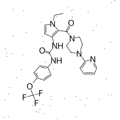 CCn1ccc(NC(=O)Nc2ccc(OC(F)(F)F)cc2)c1C(=O)N1CCN(c2ccccn2)CC1